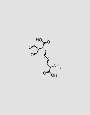 N[C@@H](CSSC[C@@H](C(=O)O)N(C=O)C=O)C(=O)O